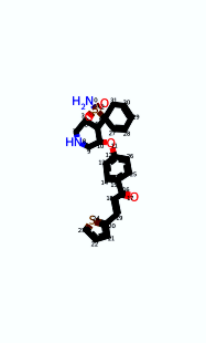 NS(=O)(=O)C1(C2CCNCC2Oc2ccc(C(=O)C=Cc3cccs3)cc2)C=CC=CC1